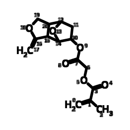 C=C(C)C(=O)OCC(=O)OC1CC2OC1C1C(=C)OCC21